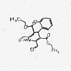 CCOC(=O)C1=C(C=O)NC(C=O)=C(C(=O)OCC)C1c1ccccc1Cl